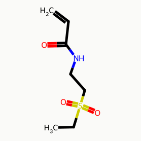 C=CC(=O)NCCS(=O)(=O)CC